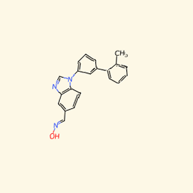 Cc1ccccc1-c1cccc(-n2cnc3cc(C=NO)ccc32)c1